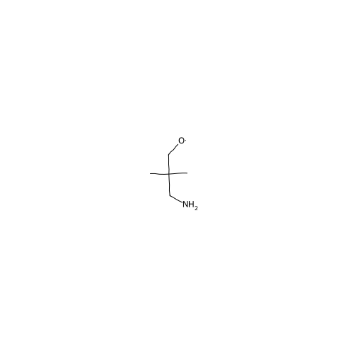 CC(C)(CN)C[O]